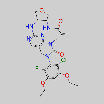 C=CC(=O)NC1COCC1Nc1ncc2c(n1)N(C)C(=O)N(c1c(F)c(OCC)cc(OCC)c1Cl)C2